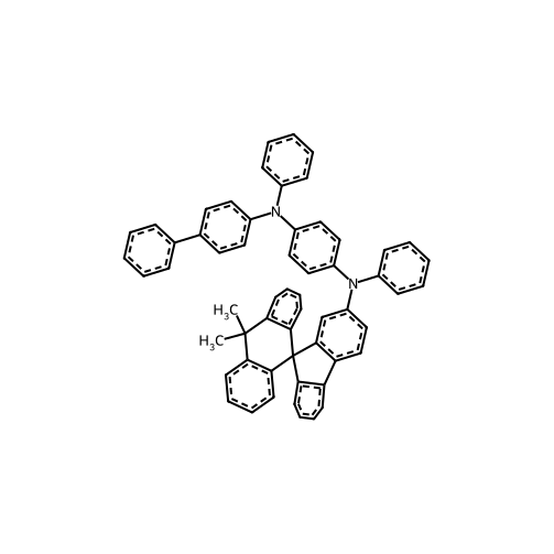 CC1(C)c2ccccc2C2(c3ccccc3-c3ccc(N(c4ccccc4)c4ccc(N(c5ccccc5)c5ccc(-c6ccccc6)cc5)cc4)cc32)c2ccccc21